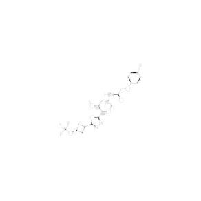 CO[C@H]1C[C@H](NC(=O)COc2ccc(F)cc2)CO[C@H]1c1nnc(C2CC(OC(F)(F)F)C2)o1